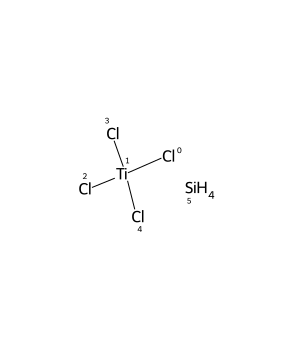 [Cl][Ti]([Cl])([Cl])[Cl].[SiH4]